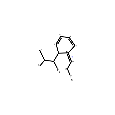 CC(C)C(F)C1C=CC=C/C1=C/CF